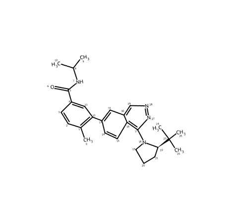 Cc1ccc(C(=O)NC(C)C)cc1-c1ccc2c(N3CCC[C@@H]3C(C)(C)C)nncc2c1